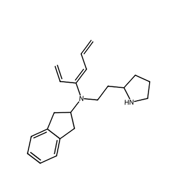 C=C/C=C(\C=C)N(CCC1CCCN1)C1Cc2ccccc2C1